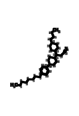 CCCCCCCCc1ccc(C2CCC(C(CC#N)C3CCC(CCCC)CC3)CC2)cc1